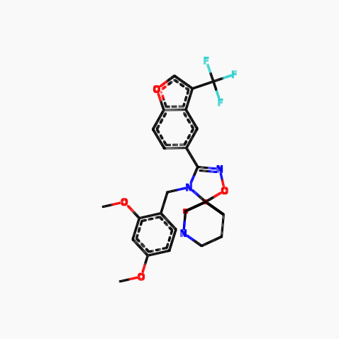 COc1ccc(CN2C(c3ccc4occ(C(F)(F)F)c4c3)=NOC23CN2CCC3CC2)c(OC)c1